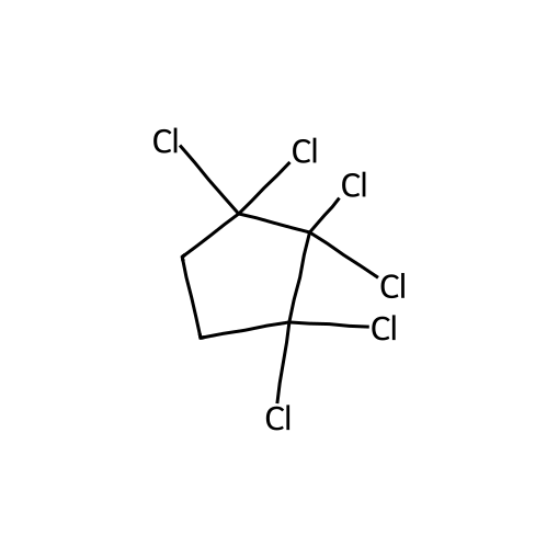 ClC1(Cl)CCC(Cl)(Cl)C1(Cl)Cl